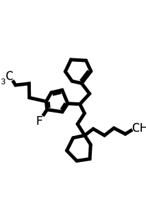 CCCCCC1(CCC(CC2=CCCCC2)c2ccc(CCCC)c(F)c2)CCCCC1